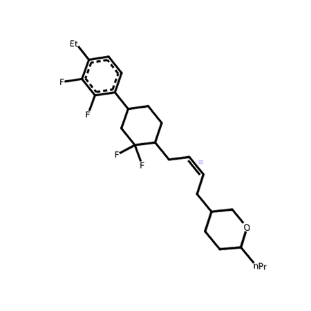 CCCC1CCC(C/C=C\CC2CCC(c3ccc(CC)c(F)c3F)CC2(F)F)CO1